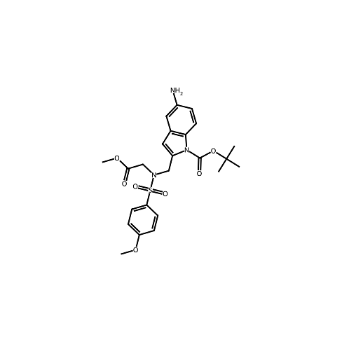 COC(=O)CN(Cc1cc2cc(N)ccc2n1C(=O)OC(C)(C)C)S(=O)(=O)c1ccc(OC)cc1